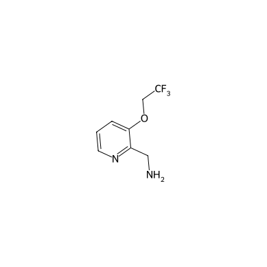 NCc1ncccc1OCC(F)(F)F